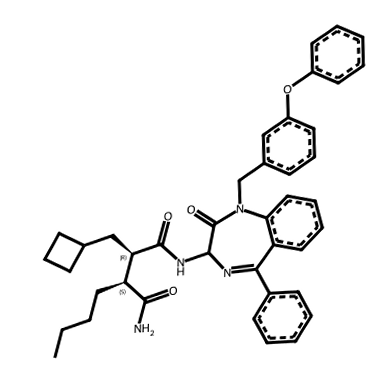 CCCC[C@H](C(N)=O)[C@@H](CC1CCC1)C(=O)NC1N=C(c2ccccc2)c2ccccc2N(Cc2cccc(Oc3ccccc3)c2)C1=O